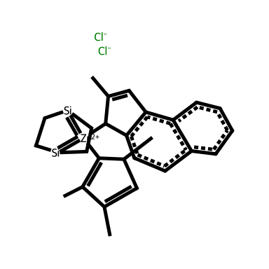 CC1=CC(C)[C]([Zr+2]2([CH]3C(C)=Cc4c3ccc3ccccc43)=[Si]3CC[Si]=2CC3)=C1C.[Cl-].[Cl-]